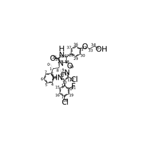 C[C@@H](c1ccccc1)[C@@H](c1nc(Cl)c(-c2ccc(Cl)cc2F)[nH]1)N1C(=O)NC(c2ccc(OCCO)cc2)C1=O